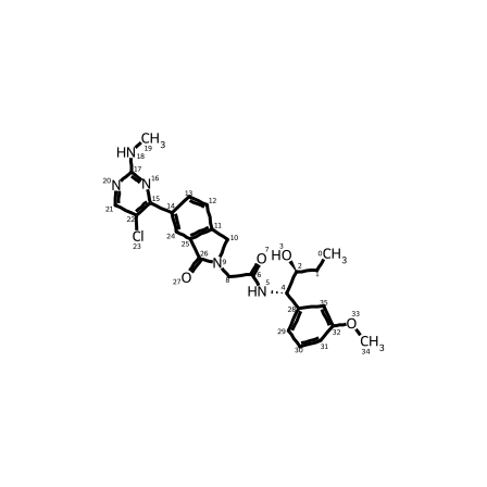 CC[C@H](O)[C@@H](NC(=O)CN1Cc2ccc(-c3nc(NC)ncc3Cl)cc2C1=O)c1cccc(OC)c1